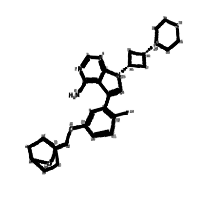 Nc1ncnc2c1c(-c1cc(OCC34CCC(CC3)O4)ccc1F)cn2[C@H]1C[C@@H](N2CCSCC2)C1